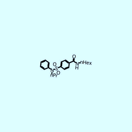 CCCCCCNC(=O)c1ccc(S(=O)(=O)N(CCC)c2ccccc2)cc1